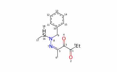 CCC(=O)C(=O)C(C)=NN(Cc1ccccc1)[SiH](C)C